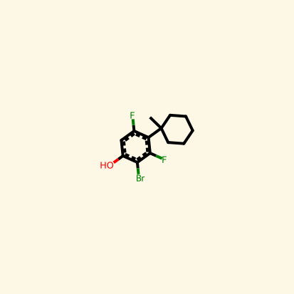 CC1(c2c(F)cc(O)c(Br)c2F)CCCCC1